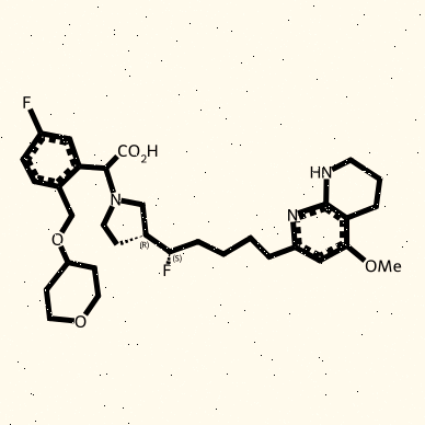 COc1cc(CCCC[C@H](F)[C@@H]2CCN(C(C(=O)O)c3cc(F)ccc3COC3CCOCC3)C2)nc2c1CCCN2